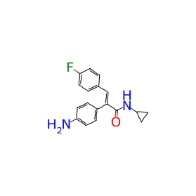 Nc1ccc(/C(=C\c2ccc(F)cc2)C(=O)NC2CC2)cc1